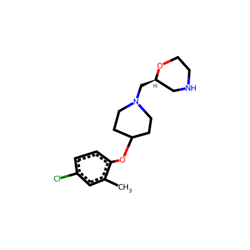 Cc1cc(Cl)ccc1OC1CCN(C[C@@H]2CNCCO2)CC1